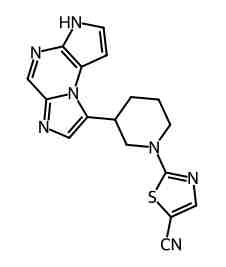 N#Cc1cnc(N2CCCC(c3cnc4cnc5[nH]ccc5n34)C2)s1